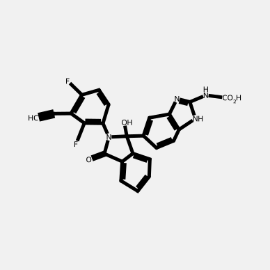 C#Cc1c(F)ccc(N2C(=O)c3ccccc3C2(O)c2ccc3[nH]c(NC(=O)O)nc3c2)c1F